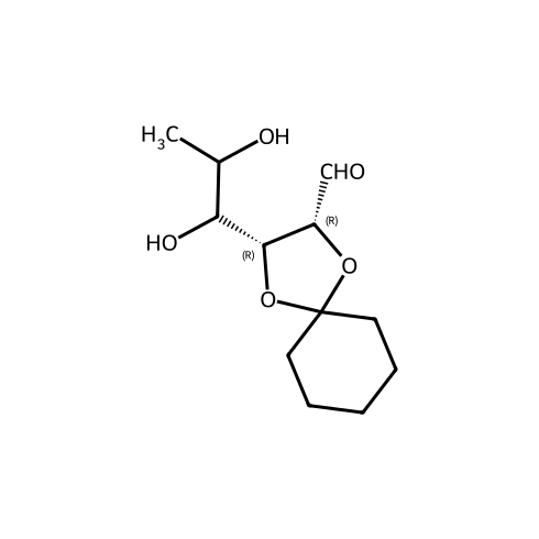 CC(O)C(O)[C@H]1OC2(CCCCC2)O[C@H]1C=O